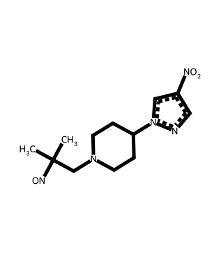 CC(C)(CN1CCC(n2cc([N+](=O)[O-])cn2)CC1)N=O